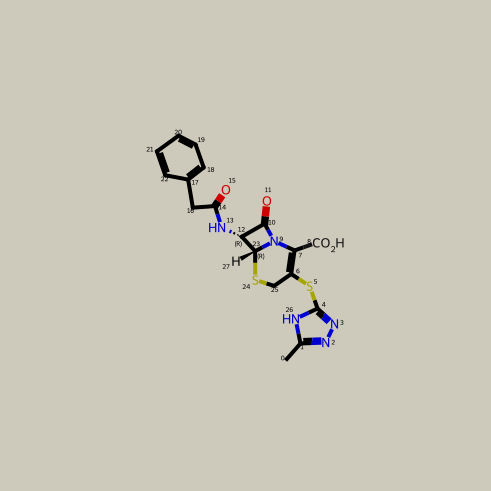 Cc1nnc(SC2=C(C(=O)O)N3C(=O)[C@@H](NC(=O)Cc4ccccc4)[C@H]3SC2)[nH]1